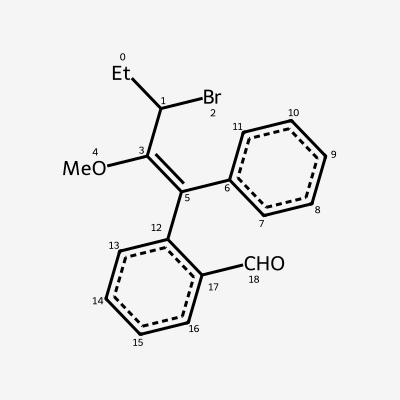 CCC(Br)/C(OC)=C(\c1ccccc1)c1ccccc1C=O